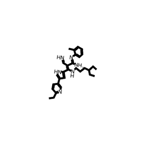 CCc1ccc(-c2c[nH]c(/C(NCCCC(CC)CC)=C(C=N)/C(N)=N/c3ccccc3C)c2)cn1